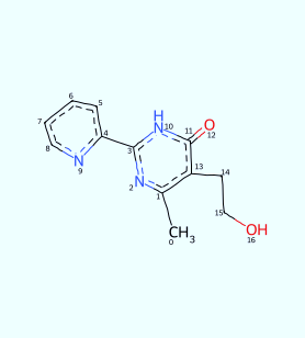 Cc1nc(-c2ccccn2)[nH]c(=O)c1CCO